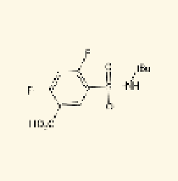 CC(C)(C)NS(=O)(=O)c1cc(C(=O)O)c(F)cc1F